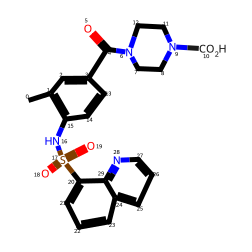 Cc1cc(C(=O)N2CCN(C(=O)O)CC2)ccc1NS(=O)(=O)c1cccc2cccnc12